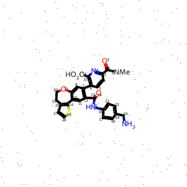 CNC(=O)c1ccc(-c2cc3c(cc2C(=O)Nc2ccc(CN)cc2)-c2sccc2CCO3)c(C(=O)O)n1